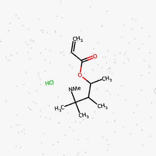 C=CC(=O)OC(C)C(C)C(C)(C)NC.Cl